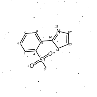 CS(=O)(=O)c1ccccc1C1=NC=CC1